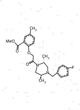 COC(=O)c1cc(C)ccc1OCC(=O)N1C[C@H](C)N(Cc2ccc(F)cc2)C[C@H]1C